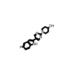 OC1CCN(c2ncc(-c3cc4cc(F)ccc4[nH]3)cn2)CC1